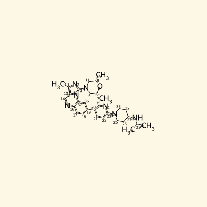 Cc1nc(N2C[C@@H](C)O[C@@H](C)C2)n2c1cnc1ccc(-c3ccc(N4CCC(NC(C)C)CC4)nc3)cc12